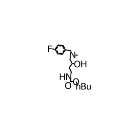 CCCCOC(=O)NCCC(O)CN(C)Cc1ccc(F)cc1